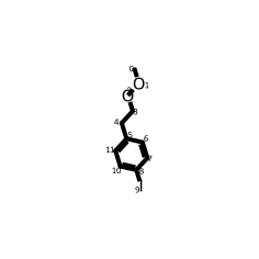 COOCCc1ccc(I)cc1